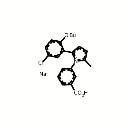 Cc1ccc(-c2cc(Cl)ccc2OCC(C)C)n1-c1cccc(C(=O)O)c1.[Na]